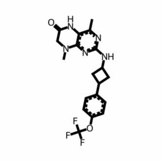 Cc1nc(NC2CC(c3ccc(OC(F)(F)F)cc3)C2)nc2c1NC(=O)CN2C